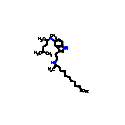 C=C(C)CCC(=C)N(C)c1ccc2[nH]cc(CCNC(=C)CCCCCCCCCCCCCCCCCCC)c2c1